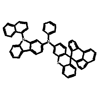 c1ccc(N(c2ccc3c(c2)Sc2ccccc2C32c3ccccc3-c3cccc4cccc2c34)c2ccc3c4ccccc4n(-c4cccc5ccccc45)c3c2)cc1